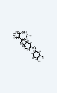 CCn1c(-c2nonc2N)nc2cnc(Oc3ccc(C)c(C)c3)cc21